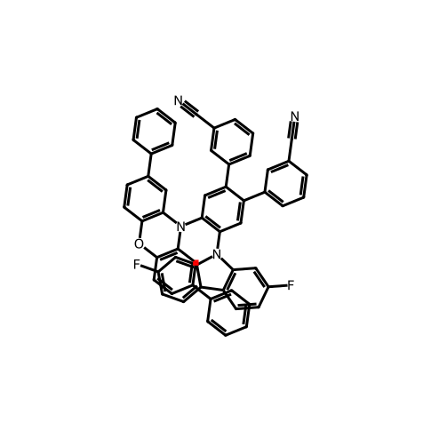 N#Cc1cccc(-c2cc(N3c4cc(-c5ccccc5)ccc4Oc4ccc(-c5ccccc5)cc43)c(-n3c4cc(F)ccc4c4ccc(F)cc43)cc2-c2cccc(C#N)c2)c1